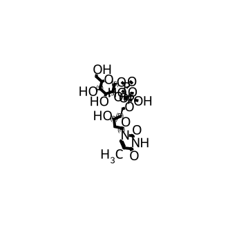 Cc1cn([C@H]2C[C@@H](O)[C@@H](COP(=O)(O)OP(=O)(O)O[C@@H]3OC(CO)[C@@H](O)C(O)[C@@H]3O)O2)c(=O)[nH]c1=O